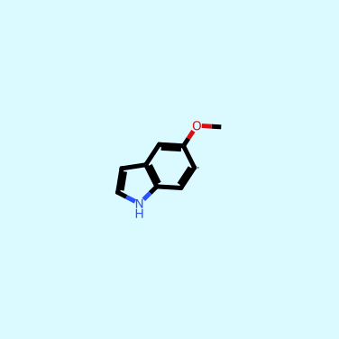 COc1[c]cc2[nH]ccc2c1